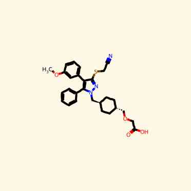 COc1cccc(-c2c(SCC#N)nn(C[C@H]3CC[C@H](COCC(=O)O)CC3)c2-c2ccccc2)c1